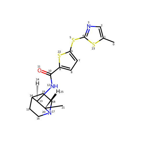 Cc1cnc(Sc2ccc(C(=O)N[C@@H]3C4CCN(CC4)[C@H]3C)s2)s1